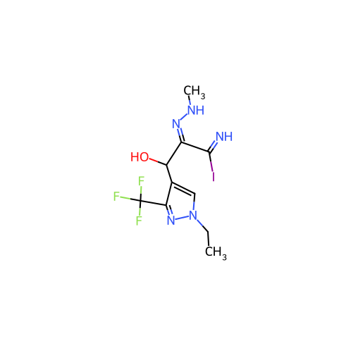 CCn1cc(C(O)/C(=N/NC)C(=N)I)c(C(F)(F)F)n1